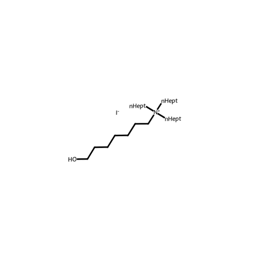 CCCCCCC[N+](CCCCCCC)(CCCCCCC)CCCCCCCO.[I-]